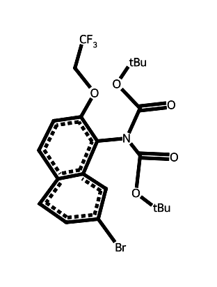 CC(C)(C)OC(=O)N(C(=O)OC(C)(C)C)c1c(OCC(F)(F)F)ccc2ccc(Br)cc12